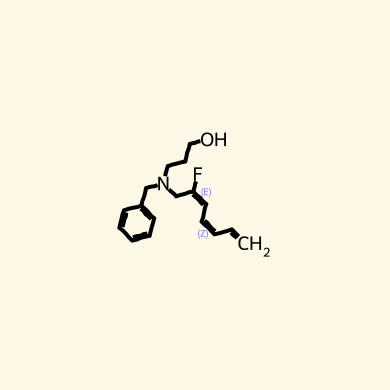 C=C/C=C\C=C(\F)CN(CCCO)Cc1ccccc1